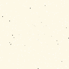 Cc1cc(C)cc(N2C(N3CCOCC3)=NC(N)=NC2Nc2ccc(F)c(Cl)c2)c1